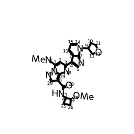 CNc1cc(-c2cnc3n(C4CCOC4)cccc2-3)nc2c(C(=O)NC3CC[C@@H]3OC)cnn12